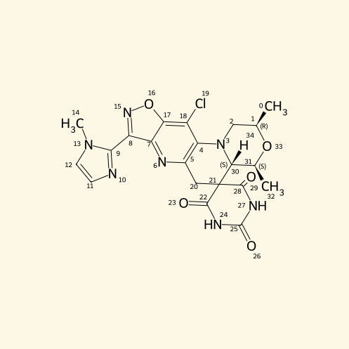 C[C@@H]1CN2c3c(nc4c(-c5nccn5C)noc4c3Cl)CC3(C(=O)NC(=O)NC3=O)[C@H]2[C@H](C)O1